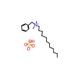 CCCCCCCCCCCC[N+](C)(C)Cc1ccccc1.O=S(=O)([O-])O